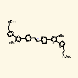 CCCCCCCCCCCCc1ccc(-c2sc(-c3ccc(/C=C/c4ccc(-c5cc(CCCC)c(-c6ccc(CCCCCCCCCCCC)s6)s5)cc4)cc3)cc2CCCC)s1